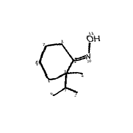 CC(C)C1(C)CCCCC1=NO